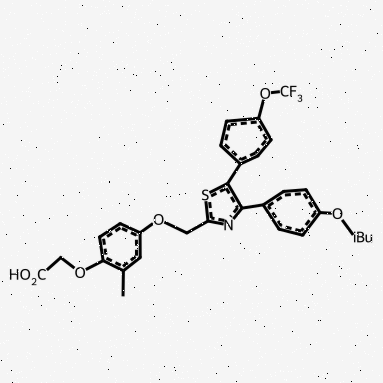 CCC(C)Oc1ccc(-c2nc(COc3ccc(OCC(=O)O)c(C)c3)sc2-c2ccc(OC(F)(F)F)cc2)cc1